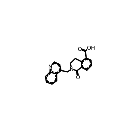 O=C(O)c1cccc2c1CCN(Cc1ccnc3ccccc13)C2=O